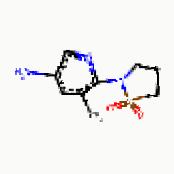 Nc1cnc(N2CCCS2(=O)=O)c(C(F)(F)F)c1